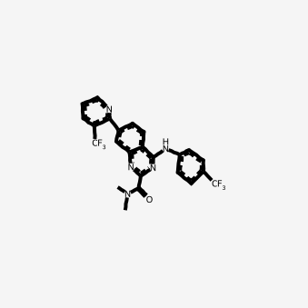 CN(C)C(=O)c1nc(Nc2ccc(C(F)(F)F)cc2)c2ccc(-c3ncccc3C(F)(F)F)cc2n1